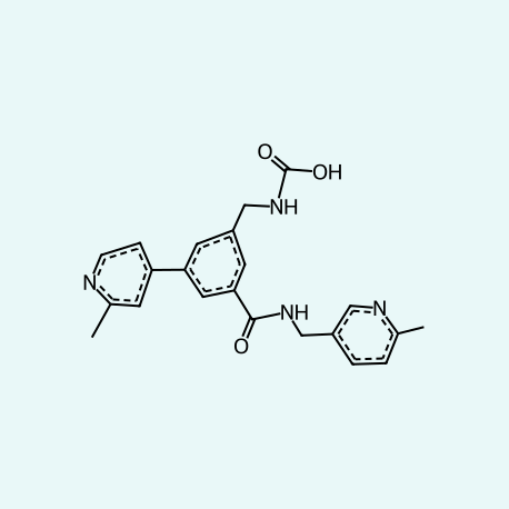 Cc1ccc(CNC(=O)c2cc(CNC(=O)O)cc(-c3ccnc(C)c3)c2)cn1